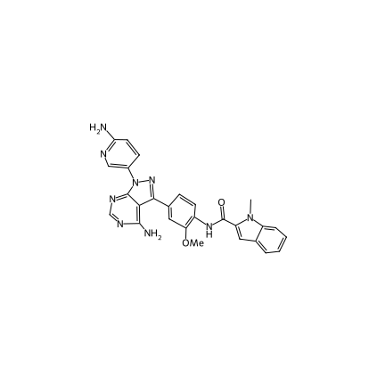 COc1cc(-c2nn(-c3ccc(N)nc3)c3ncnc(N)c23)ccc1NC(=O)c1cc2ccccc2n1C